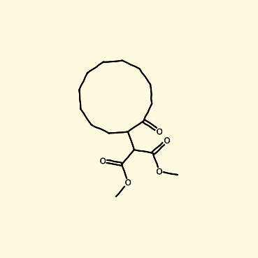 COC(=O)C(C(=O)OC)C1CCCCCCCCCCC1=O